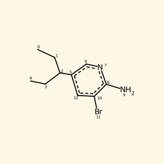 CCC(CC)c1cnc(N)c(Br)c1